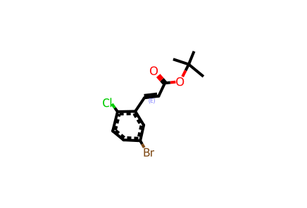 CC(C)(C)OC(=O)/C=C/c1cc(Br)ccc1Cl